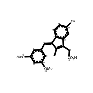 COc1cc(/C=C2\C(C)=C(CC(=O)O)c3cc(F)ccc32)cc(OC)c1